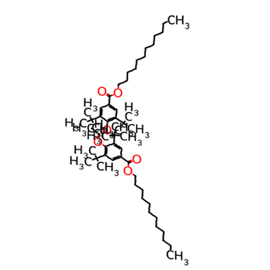 CCCCCCCCCCCCOC(=O)c1cc(C(C)(C)C)c(O[SiH](C)Oc2c(C(C)(C)C)cc(C(=O)OCCCCCCCCCCCC)cc2C(C)(C)C)c(C(C)(C)C)c1